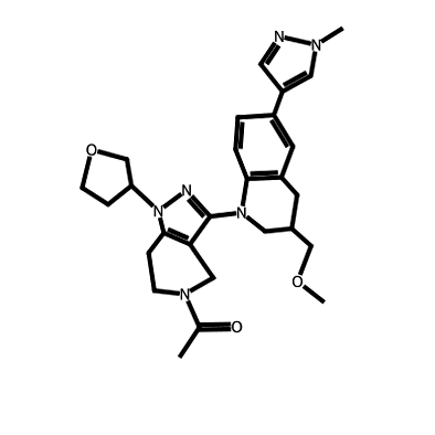 COCC1Cc2cc(-c3cnn(C)c3)ccc2N(c2nn(C3CCOC3)c3c2CN(C(C)=O)CC3)C1